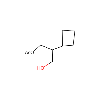 CC(=O)OCC(CO)C1CCC1